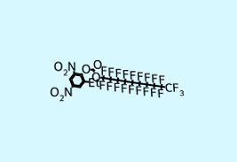 CCc1cc([N+](=O)[O-])cc([N+](=O)[O-])c1OC(=O)OC(F)(F)C(F)(F)C(F)(F)C(F)(F)C(F)(F)C(F)(F)C(F)(F)C(F)(F)C(F)(F)C(F)(F)F